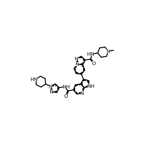 CN1CCC(NC(=O)c2cnn3ccc(-c4c[nH]c5ncc(C(=O)Nc6cnn(C7CCNCC7)c6)cc45)cc23)CC1